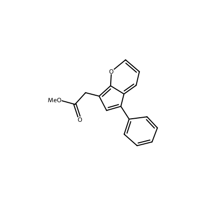 COC(=O)Cc1cc(-c2ccccc2)c2cccoc1-2